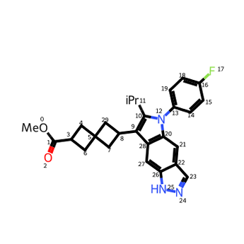 COC(=O)C1CC2(C1)CC(c1c(C(C)C)n(-c3ccc(F)cc3)c3cc4cn[nH]c4cc13)C2